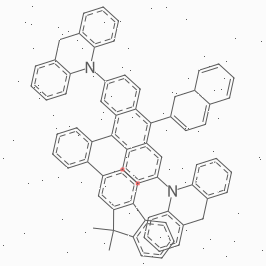 CC1(C)c2ccccc2-c2ccc(-c3ccccc3-c3c4ccc(N5c6ccccc6Cc6ccccc65)cc4c(C4=CC=C5C=CC=CC5C4)c4ccc(N5c6ccccc6Cc6ccccc65)cc34)cc21